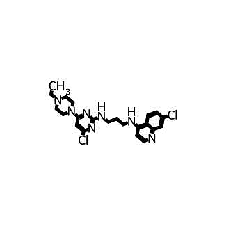 CCN1CCN(c2cc(Cl)nc(NCCCNc3ccnc4cc(Cl)ccc34)n2)CC1